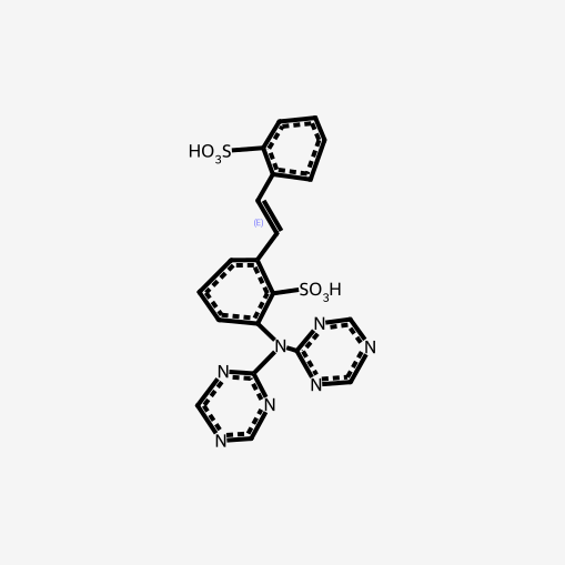 O=S(=O)(O)c1ccccc1/C=C/c1cccc(N(c2ncncn2)c2ncncn2)c1S(=O)(=O)O